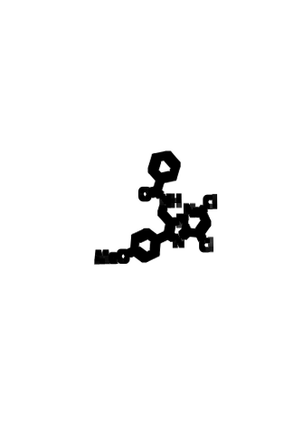 COc1ccc(-c2nc3c(Cl)cc(Cl)nn3c2CNC(=O)c2ccccc2)cc1